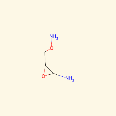 NOCC1OC1N